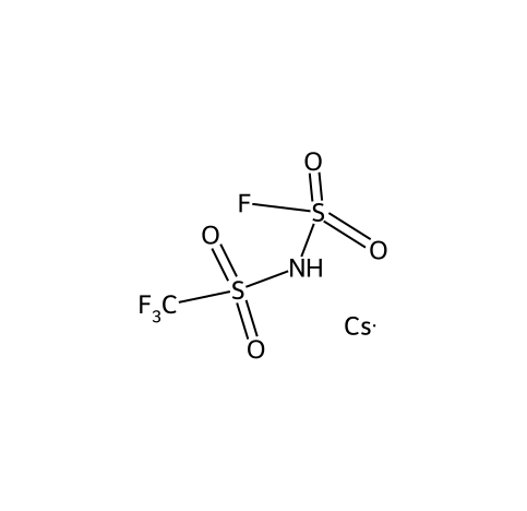 O=S(=O)(F)NS(=O)(=O)C(F)(F)F.[Cs]